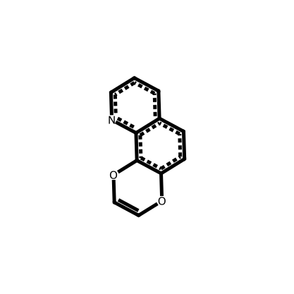 C1=COc2c(ccc3cccnc23)O1